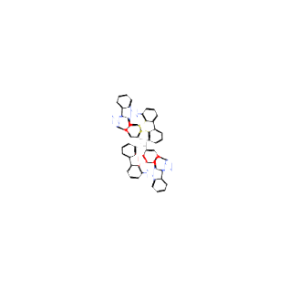 c1ccc([Si](c2ccccc2)(c2cccc3c2oc2c(-n4c5ccccc5c5ncccc54)cccc23)c2cccc3c2sc2c(-n4c5ccccc5c5ncccc54)cccc23)cc1